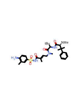 CN[C@H](C(=O)NC(C(=O)N(C)C/C=C(\C)C(=O)NS(=O)(=O)c1ccc(N)c(C)c1)C(C)(C)C)C(C)(C)c1ccccc1